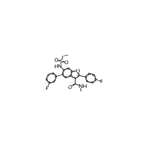 CCS(=O)(=O)Nc1cc2oc(-c3ccc(F)cc3)c(C(=O)NC)c2cc1-c1cccc(F)c1